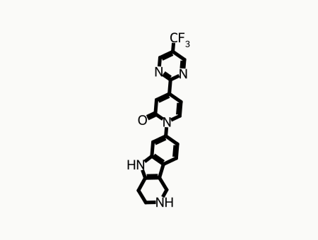 O=c1cc(-c2ncc(C(F)(F)F)cn2)ccn1-c1ccc2c3c([nH]c2c1)CCNC3